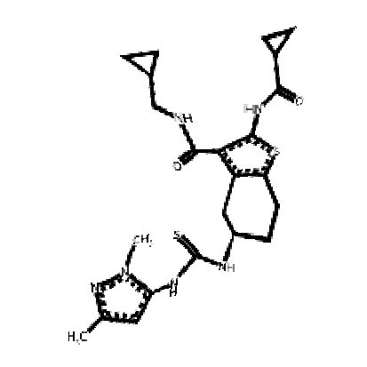 Cc1cc(NC(=S)N[C@@H]2CCc3sc(NC(=O)C4CC4)c(C(=O)NCC4CC4)c3C2)n(C)n1